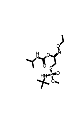 CCON=C(CSP(=O)(NC(C)(C)C)OC)OC(=O)NC(C)C